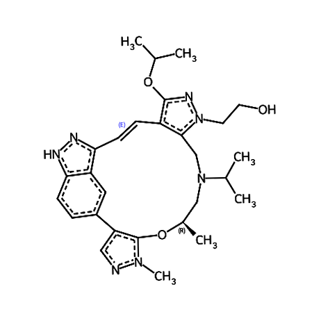 CC(C)Oc1nn(CCO)c2c1/C=C/c1n[nH]c3ccc(cc13)-c1cnn(C)c1O[C@H](C)CN(C(C)C)C2